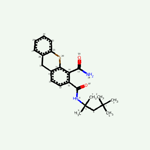 CC(C)(C)CC(C)(C)NC(=O)c1ccc2c(c1C(N)=O)Sc1ccccc1C2